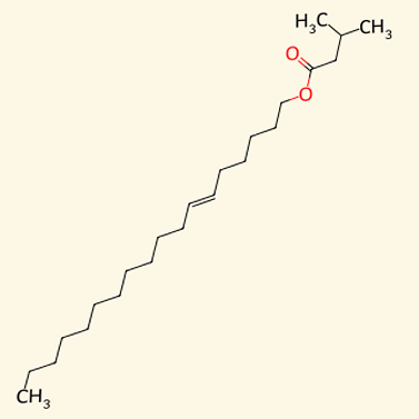 CCCCCCCCCCCC=CCCCCCOC(=O)CC(C)C